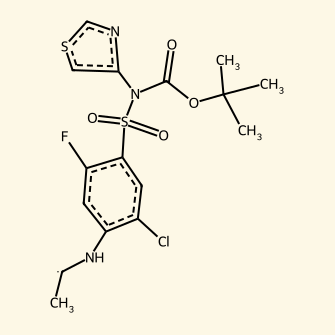 C[CH]Nc1cc(F)c(S(=O)(=O)N(C(=O)OC(C)(C)C)c2cscn2)cc1Cl